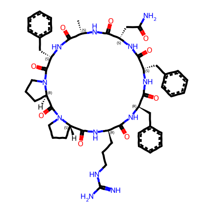 C[C@@H]1NC(=O)[C@H](CC(N)=O)NC(=O)[C@H](Cc2ccccc2)NC(=O)[C@@H](Cc2ccccc2)NC(=O)[C@@H](CCCNC(=N)N)NC(=O)[C@@H]2CCCN2C(=O)[C@H]2CCCN2C(=O)[C@H](Cc2ccccc2)NC1=O